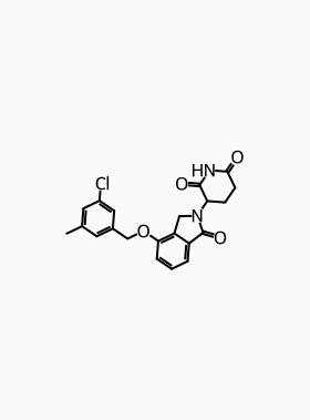 Cc1cc(Cl)cc(COc2cccc3c2CN(C2CCC(=O)NC2=O)C3=O)c1